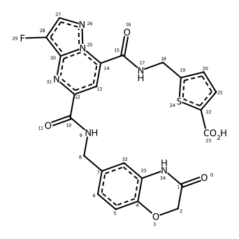 O=C1COc2ccc(CNC(=O)c3cc(C(=O)NCc4ccc(C(=O)O)s4)n4ncc(F)c4n3)cc2N1